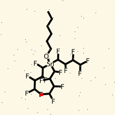 CCCCCC[O][Sn]([CH](F)C(F)C(F)C(F)F)([CH](F)C(F)C(F)C(F)F)[CH](F)C(F)C(F)C(F)F